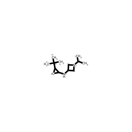 CC(C)N1CC(NC2OC2C(C)(C)C)C1